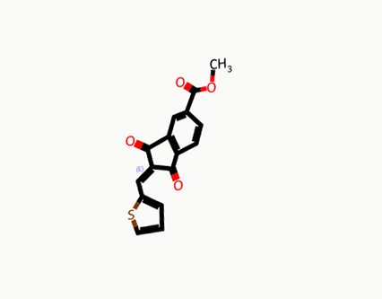 COC(=O)c1ccc2c(c1)C(=O)/C(=C/c1cccs1)C2=O